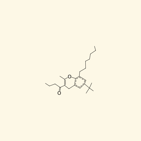 CCCCCCCc1cc(C(C)(C)C)cc2c1OC(C)=C(C(=O)CCC)C2